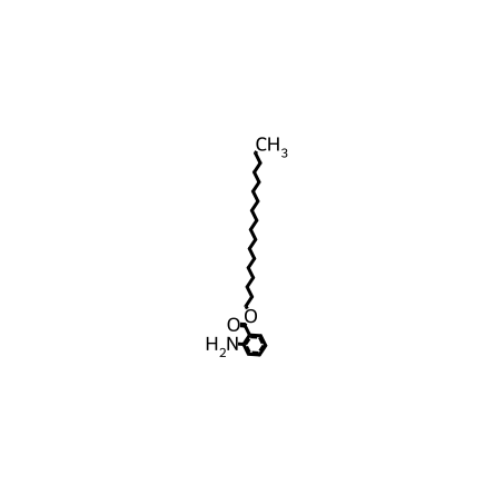 CCCCCCCCCCCCCCCCCCOC(=O)c1ccccc1N